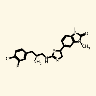 Cn1c(=O)[nH]c2ccc(C3CN=C(NC[C@@H](N)Cc4ccc(Cl)c(F)c4)S3)cc21